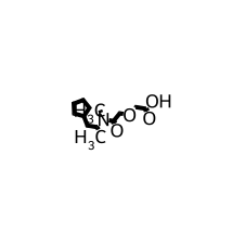 CC(CC1CCCC1)N(C)C(=O)COCC(=O)O